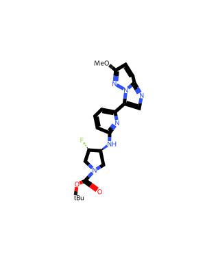 COc1ccc2ncc(-c3cccc(N[C@H]4CN(C(=O)OC(C)(C)C)C[C@@H]4F)n3)n2n1